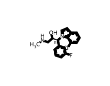 CNCC(O)[C@H](c1cccc(F)c1)n1ccc2cccc(Cl)c21